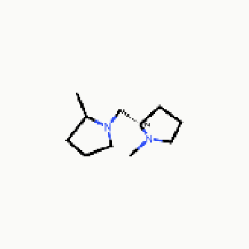 CC1CCCN1C[C@@H]1CCCN1C